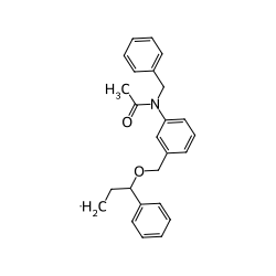 [CH2]CC(OCc1cccc(N(Cc2ccccc2)C(C)=O)c1)c1ccccc1